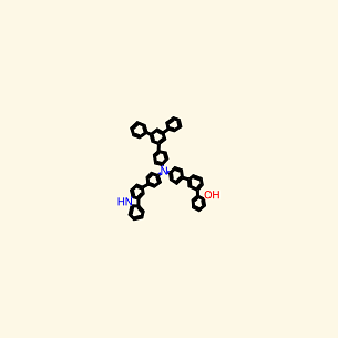 Oc1ccccc1-c1cccc(-c2ccc(N(c3ccc(-c4cc(-c5ccccc5)cc(-c5ccccc5)c4)cc3)c3ccc(-c4ccc5[nH]c6ccccc6c5c4)cc3)cc2)c1